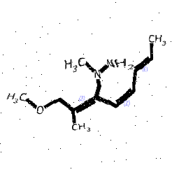 C/C=C/C=C\C(=C(/C)COC)N(C)N